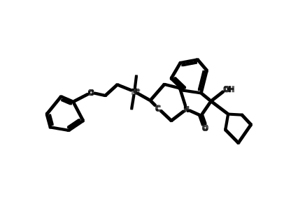 C[N+](C)(CCOc1ccccc1)C1CCN(C(=O)C(O)(c2ccccc2)C2CCCC2)CC1